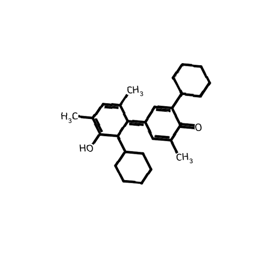 CC1=CC(=C2C(C)=CC(C)=C(O)C2C2CCCCC2)C=C(C2CCCCC2)C1=O